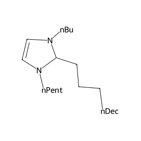 CCCCCCCCCCCCCC1N(CCCC)C=CN1CCCCC